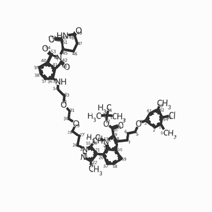 Cc1cc(OCCCc2c(C(=O)OC(C)(C)C)n(C)c3c(-c4c(C)nn(CCCOCCOCCNc5cccc6c5C(=O)N(C5CCC(=O)NC5=O)C6=O)c4C)cccc23)cc(C)c1Cl